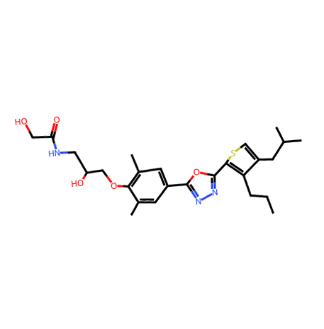 CCCc1c(CC(C)C)csc1-c1nnc(-c2cc(C)c(OCC(O)CNC(=O)CO)c(C)c2)o1